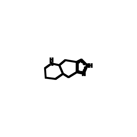 c1[nH]nc2c1CC1NCCCC1C2